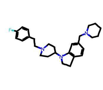 Fc1ccc(CCN2CCC(N3CCc4ccc(CN5CCCCC5)cc43)CC2)cc1